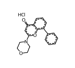 Cl.O=c1cc(N2CCOCC2)oc2c(-c3ccccc3)cccc12